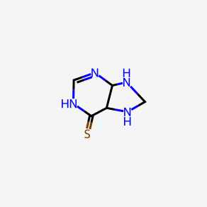 S=C1NC=NC2NCNC12